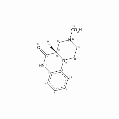 O=C1Nc2cccnc2N2CCN(C(=O)O)C[C@@H]12